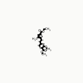 CCOC(=O)c1cc(C)c(CCC2CSC(C(=O)OC)C(OC)=N2)s1